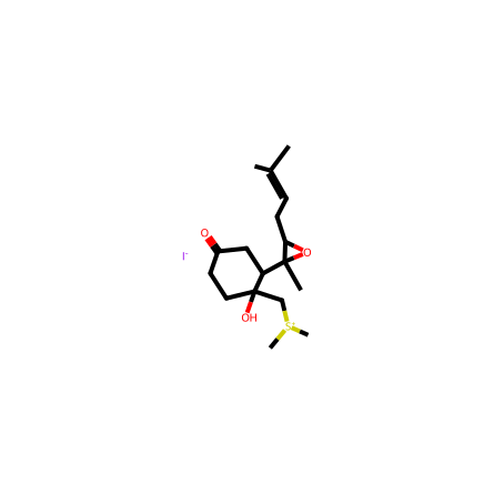 CC(C)=CCC1OC1(C)C1CC(=O)CCC1(O)C[S+](C)C.[I-]